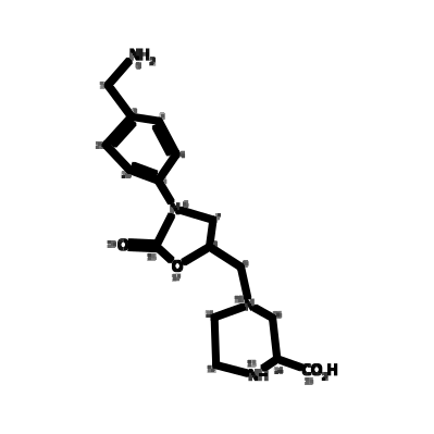 NCc1ccc(N2CC(CN3CCNC(C(=O)O)C3)OC2=O)cc1